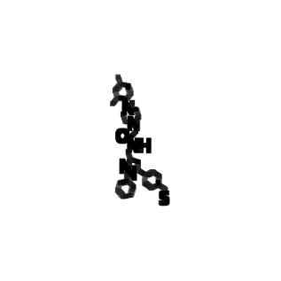 Cc1ccc(N2CCN(CC(=O)NCc3cc(-c4ccc(C=S)cc4)n(-c4ccccc4)n3)CC2)c(C)c1